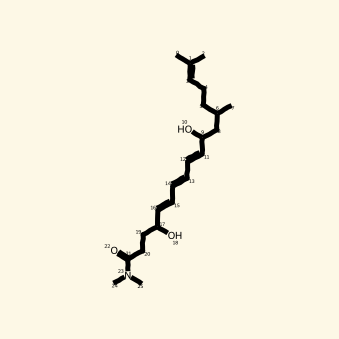 CC(C)=CCCC(C)CC(O)/C=C/C=C/C=C/C(O)CCC(=O)N(C)C